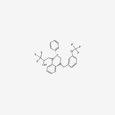 OC(CN1c2ccccc2N(Cc2cccc(OC(F)(F)F)c2)C[C@H]1c1ccccc1)C(F)(F)F